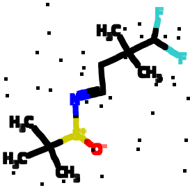 CC(C)(CC=N[S+]([O-])C(C)(C)C)C(F)F